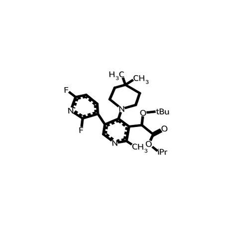 Cc1ncc(-c2ccc(F)nc2F)c(N2CCC(C)(C)CC2)c1C(OC(C)(C)C)C(=O)OC(C)C